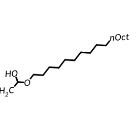 [CH2]C(O)OCCCCCCCCCCCCCCCCCC